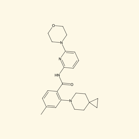 Cc1ccc(C(=O)Nc2cccc(N3CCOCC3)n2)c(N2CCC3(CC2)CC3)c1